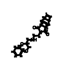 O=C1C2C3C=CC(C4C=CC43)C2C(=O)N1CCNCC1COc2ccccc2O1